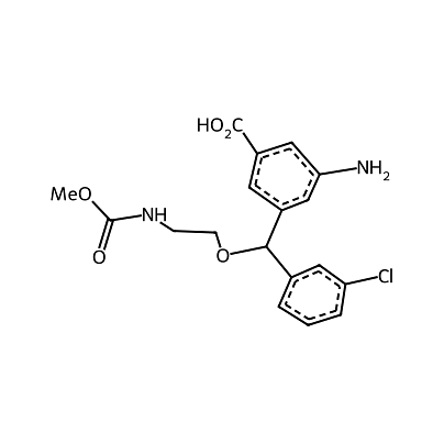 COC(=O)NCCOC(c1cccc(Cl)c1)c1cc(N)cc(C(=O)O)c1